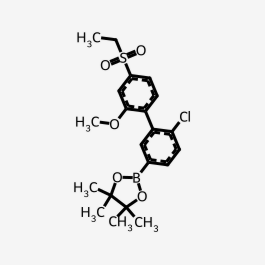 CCS(=O)(=O)c1ccc(-c2cc(B3OC(C)(C)C(C)(C)O3)ccc2Cl)c(OC)c1